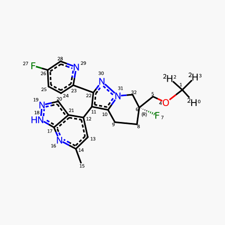 [2H]C([2H])([2H])OC[C@@]1(F)CCc2c(-c3cc(C)nc4[nH]ncc34)c(-c3ccc(F)cn3)nn2C1